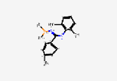 Cc1cccc(C)c1NC(=NP(C(C)C)C(C)C)c1ccc(C(C)(C)C)cc1